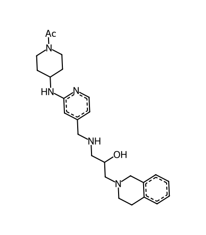 CC(=O)N1CCC(Nc2cc(CNCC(O)CN3CCc4ccccc4C3)ccn2)CC1